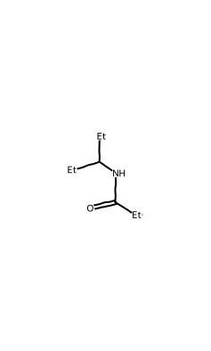 C[CH]C(=O)NC(CC)CC